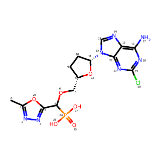 Cc1nnc(C(OC[C@@H]2CC[C@H](n3cnc4c(N)nc(Cl)nc43)O2)P(=O)(O)O)o1